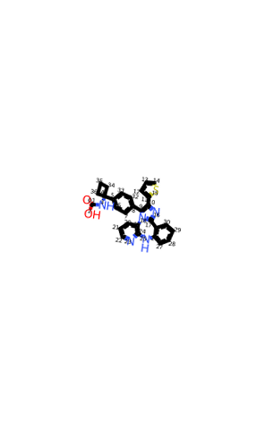 O=C(O)NC1(c2ccc(-c3c(-c4cccs4)nc4n3-c3cccnc3Nc3ccccc3-4)cc2)CCC1